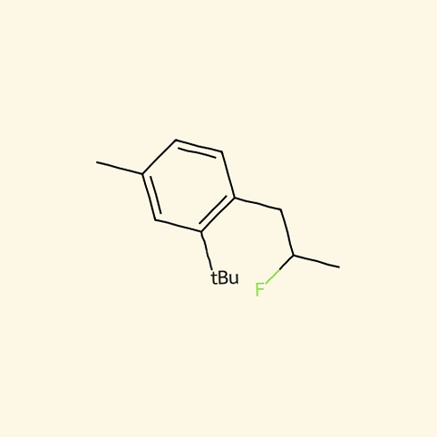 Cc1ccc(CC(C)F)c(C(C)(C)C)c1